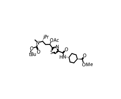 COC(=O)[C@H]1CC[C@H](NC(=O)c2csc([C@@H](C[C@@H](C(C)C)N(C)C(=O)OC(C)(C)C)OC(C)=O)n2)CC1